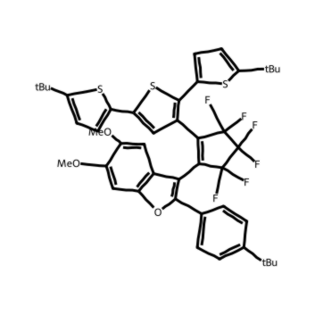 COc1cc2oc(-c3ccc(C(C)(C)C)cc3)c(C3=C(c4cc(-c5ccc(C(C)(C)C)s5)sc4-c4ccc(C(C)(C)C)s4)C(F)(F)C(F)(F)C3(F)F)c2cc1OC